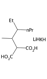 CCCC(CC)C(C)C(C(=O)O)C(=O)O.[KH].[LiH]